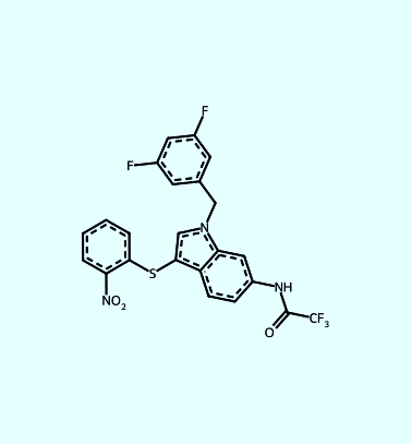 O=C(Nc1ccc2c(Sc3ccccc3[N+](=O)[O-])cn(Cc3cc(F)cc(F)c3)c2c1)C(F)(F)F